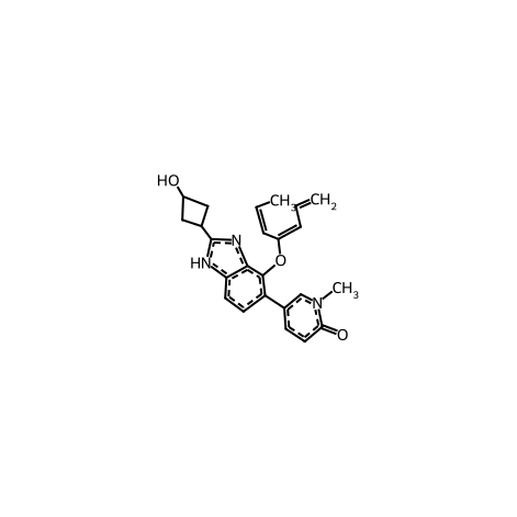 C=C/C=C(\C=C/C)Oc1c(-c2ccc(=O)n(C)c2)ccc2[nH]c(C3CC(O)C3)nc12